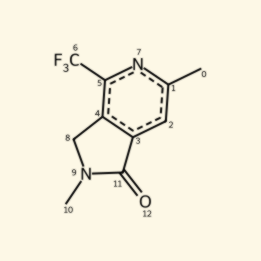 Cc1cc2c(c(C(F)(F)F)n1)CN(C)C2=O